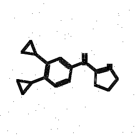 c1cc(C2CC2)c(C2CC2)cc1NC1=NCCC1